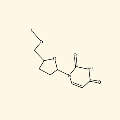 O=c1ccn(C2CCC(COI)O2)c(=O)[nH]1